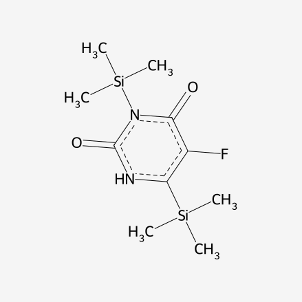 C[Si](C)(C)c1[nH]c(=O)n([Si](C)(C)C)c(=O)c1F